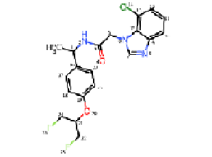 CC(NC(=O)Cn1cnc2cccc(Cl)c21)c1ccc(OC(CF)CF)cc1